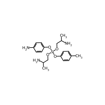 Cc1ccc(O[Si](OCC(C)N)(OCC(C)N)Oc2ccc(N)cc2)cc1